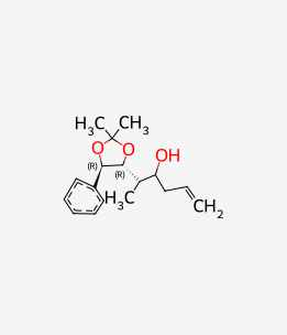 C=CCC(O)C(C)[C@H]1OC(C)(C)O[C@@H]1c1ccccc1